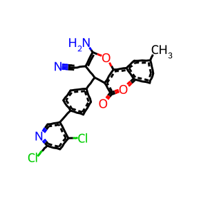 Cc1ccc2oc(=O)c3c(c2c1)OC(N)=C(C#N)C3c1ccc(-c2cnc(Cl)cc2Cl)cc1